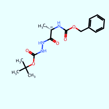 C[C@H](NC(=O)OCc1ccccc1)C(=O)NNC(=O)OC(C)(C)C